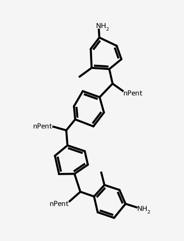 CCCCCC(c1ccc(C(CCCCC)c2ccc(N)cc2C)cc1)c1ccc(C(CCCCC)c2ccc(N)cc2C)cc1